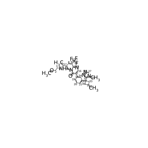 COCCNC(C)c1cc(C(F)(F)F)c2ncc(-c3cccc(C4(c5nncn5C)CC(C)C4)c3)c(=O)n2c1